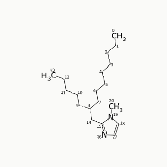 CCCCCCCCC(CCCCC)Cc1nccn1C